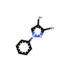 CC(C)c1cn(-c2ccccc2)nc1C(C)C